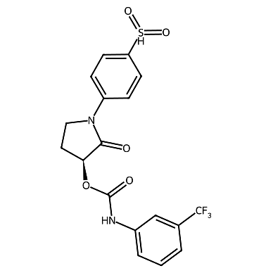 O=C(Nc1cccc(C(F)(F)F)c1)O[C@H]1CCN(c2ccc([SH](=O)=O)cc2)C1=O